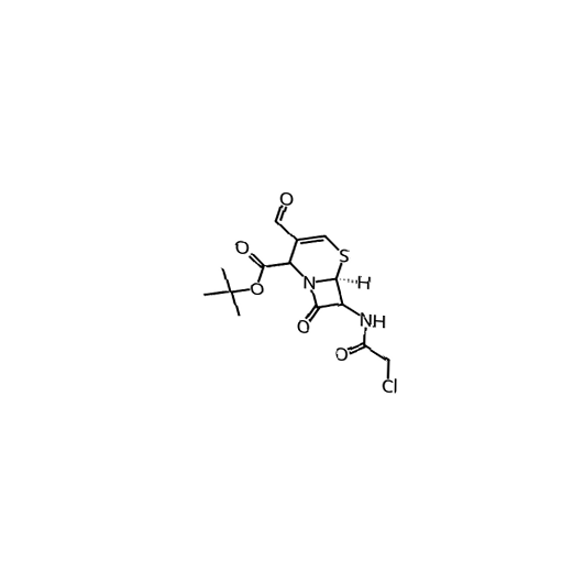 CC(C)(C)OC(=O)C1C(C=O)=CS[C@H]2C(NC(=O)CCl)C(=O)N12